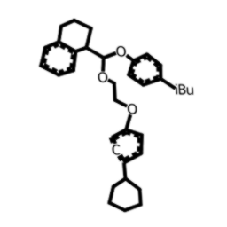 CCC(C)c1ccc(OC(OCCOc2ccc(C3CCCCC3)cc2)C2CCCc3ccccc32)cc1